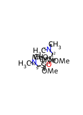 CO[Si](CN(C)C)(OC)O[Si](CN(C)C)(OC)OC